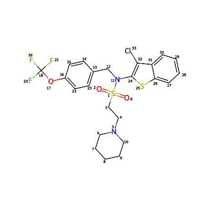 O=S(=O)(CCN1CCCCC1)N(Cc1ccc(OC(F)(F)F)cc1)c1sc2ccccc2c1Cl